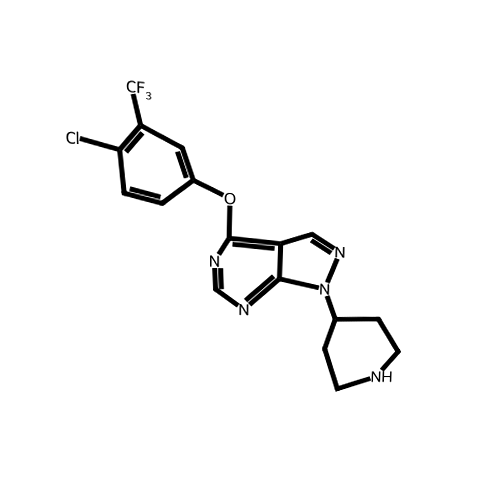 FC(F)(F)c1cc(Oc2ncnc3c2cnn3C2CCNCC2)ccc1Cl